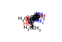 CC(=O)O[C@H]1C[C@@]2(C)[C@@H](C[C@@H](N)[C@H]3[C@@]4(C)CC[C@@H](O)[C@@H](N)[C@@H]4CC[C@@]32N)/C1=C(\CCCC(C)C)C(=O)O